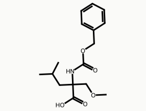 COCC(CC(C)C)(NC(=O)OCc1ccccc1)C(=O)O